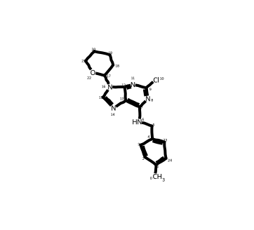 Cc1ccc(CNc2nc(Cl)nc3c2ncn3C2CCCCO2)cc1